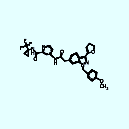 COc1ccc(Cn2nc(C3=CCCO3)c3ccc(CC(=O)Nc4ccnc(C(=O)NC5(C(F)(F)F)CC5)c4)cc32)cc1